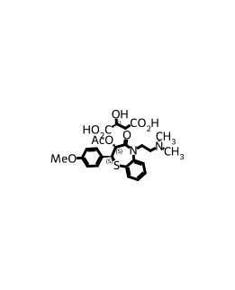 COc1ccc([C@@H]2Sc3ccccc3N(CCN(C)C)C(=O)[C@@H]2OC(C)=O)cc1.O=C(O)C[C@H](O)C(=O)O